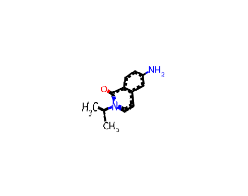 CC(C)n1ccc2cc(N)ccc2c1=O